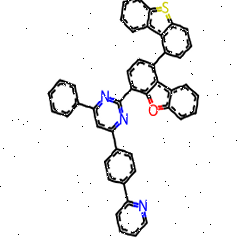 c1ccc(-c2cc(-c3ccc(-c4ccccn4)cc3)nc(-c3ccc(-c4cccc5sc6ccccc6c45)c4c3oc3ccccc34)n2)cc1